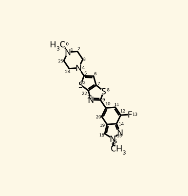 CN1CCN(c2cc3sc(-c4cc(F)c5nn(C)cc5c4)nc3s2)CC1